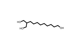 OCCCCCCCCCC(CO)CO